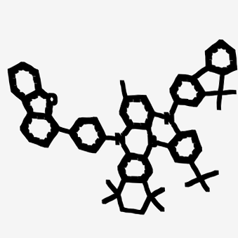 Cc1cc2c3c(c1)N(c1ccc(-c4cccc5c4oc4ccccc45)cc1)c1cc4c(cc1B3c1cc(C(C)(C)C)ccc1N2c1ccc2c(c1)C(C)(C)c1ccccc1-2)C(C)(C)CCC4(C)C